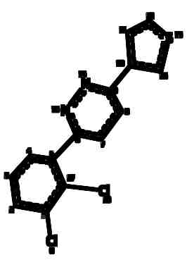 Clc1cccc(-c2ccc(-c3ccsc3)nn2)c1Cl